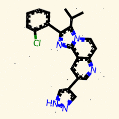 CC(C)c1c(-c2ccccc2Cl)nc2c3cc(-c4cn[nH]c4)cnc3ccn12